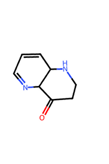 O=C1CCNC2C=CC=NC12